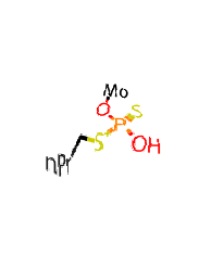 CCCCSP(O)(=S)[O][Mo]